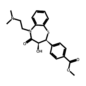 COC(=O)c1ccc([C@@H]2Sc3ccccc3N(CCN(C)C)C(=O)[C@@H]2O)cc1